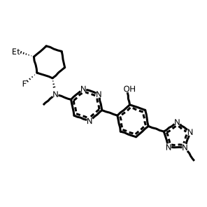 CC[C@@H]1CCC[C@H](N(C)c2cnc(-c3ccc(-c4nnn(C)n4)cc3O)nn2)[C@@H]1F